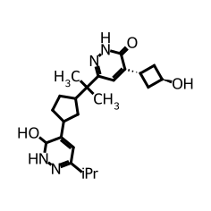 CC(C)C1=NNC(O)C(C2CCC(C(C)(C)c3cc([C@H]4C[C@H](O)C4)c(=O)[nH]n3)C2)=C1